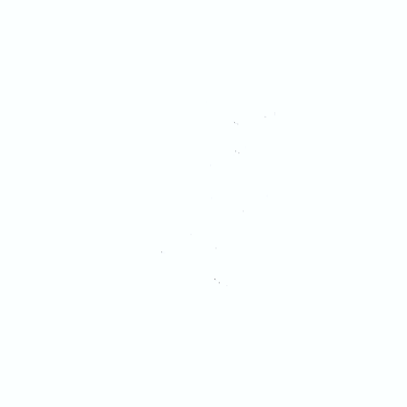 CN(C)N1CCC(Oc2ccc(C(F)(F)F)cn2)CC1